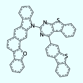 c1ccc2c(c1)oc1c3cc4c(cc3ccc21)c1ccccc1n4-c1nc(-c2ccc3c(c2)sc2ccccc23)c2c(n1)sc1ccccc12